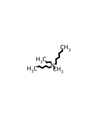 CCCCCC[N+](C)(CCC)CCCCC